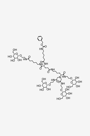 O=C(CCCCCNC(=O)[C@H](CCC(=O)NCCCC[C@@H](C(=O)NCCO[C@H]1O[C@H](CO)[C@@H](O)[C@H](O)[C@@H]1O)N(CC(=O)NCCO[C@H]1O[C@H](CO)[C@@H](O)[C@H](O)[C@@H]1O)CC(=O)NCCO[C@H]1O[C@H](CO)[C@@H](O)[C@H](O)[C@@H]1O)NC(=O)CCCCCNC(=O)OCc1ccccc1)NCCO[C@H]1O[C@H](CO)[C@@H](O)[C@H](O)[C@@H]1O